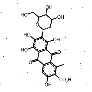 Cc1c(C(=O)O)c(O)cc2c1C(=O)c1c(O)c([C@@H]3CC(O)[C@H](O)C(CO)O3)c(O)c(O)c1C2=O